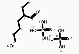 CCCCC(C=O)CC.OP(O)(O)=S.OP(O)(O)=S.[Zn]